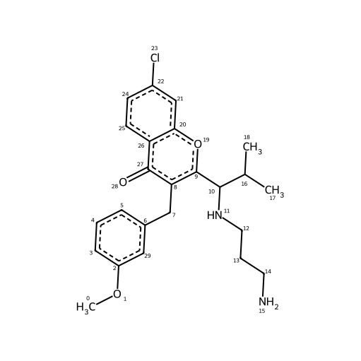 COc1cccc(Cc2c(C(NCCCN)C(C)C)oc3cc(Cl)ccc3c2=O)c1